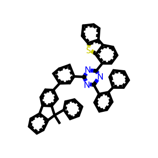 CC1(c2ccccc2)c2ccccc2-c2ccc(-c3cccc(-c4nc(-c5ccccc5-c5ccccc5)nc(-c5cccc6c5sc5ccccc56)n4)c3)cc21